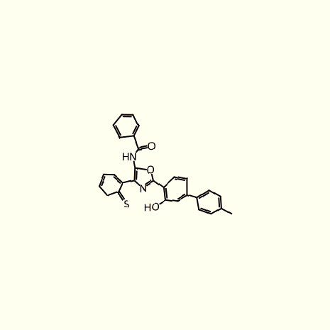 Cc1ccc(-c2ccc(-c3nc(C4=CC=CCC4=S)c(NC(=O)c4ccccc4)o3)c(O)c2)cc1